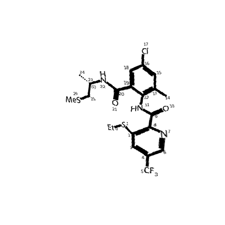 CCSc1cc(C(F)(F)F)cnc1C(=O)Nc1c(C)cc(Cl)cc1C(=O)N[C@@H](C)CSC